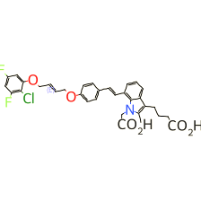 Cc1c(CCCC(=O)O)c2cccc(C=Cc3ccc(OC/C=C/COc4cc(F)cc(F)c4Cl)cc3)c2n1CC(=O)O